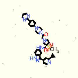 CS(=O)(=O)[C@@]1(C(=O)Nc2ccc3[nH]nc(-c4ccnc(C5CC5)c4)c3c2)CCN(CC(=O)N2CCN(c3ccc(-c4ncccn4)cc3)CC2)C1